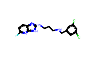 Fc1ccc2nc(NCCCNCc3cc(Cl)cc(Cl)c3)[nH]c2n1